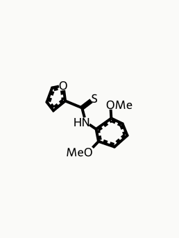 COc1cccc(OC)c1NC(=S)c1ccco1